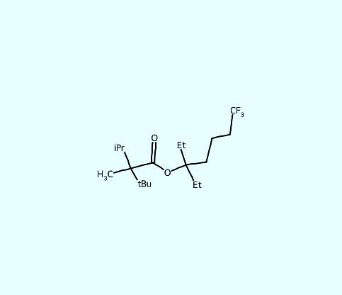 CCC(CC)(CCCC(F)(F)F)OC(=O)C(C)(C(C)C)C(C)(C)C